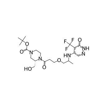 CC(COCCC(=O)N1CCN(C(=O)OC(C)(C)C)C[C@H]1CO)Nc1cn[nH]c(=O)c1C(F)(F)F